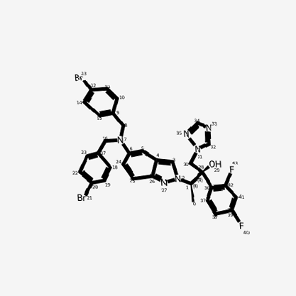 C[C@@H](n1cc2cc(N(Cc3ccc(Br)cc3)Cc3ccc(Br)cc3)ccc2n1)[C@](O)(Cn1cncn1)c1ccc(F)cc1F